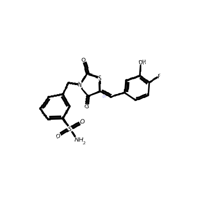 NS(=O)(=O)c1cccc(CN2C(=O)S/C(=C\c3ccc(F)c(O)c3)C2=O)c1